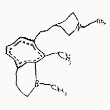 CCCN1CC(Cc2ccc3c(c2C)B(C)CC3)C1